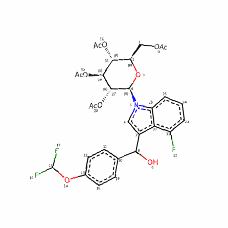 CC(=O)OC[C@H]1O[C@@H](n2cc(C(O)c3ccc(OC(F)F)cc3)c3c(F)cccc32)[C@H](OC(C)=O)[C@@H](OC(C)=O)[C@@H]1OC(C)=O